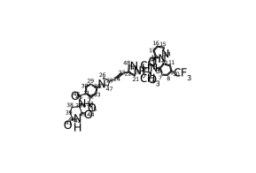 CC(C)(C(=O)Nc1ccc(C(F)(F)F)cc1-n1ncccc1=O)n1cc(C#CC2CN(c3ccc4c(c3)C(=O)N(C3CCC(=O)NC3=O)C4=O)C2)cn1